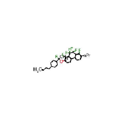 C=CCCC1CCC(C(C)(F)Oc2ccc3c(c2F)C(F)(F)C(F)(F)c2c-3ccc(CCC)c2F)CC1